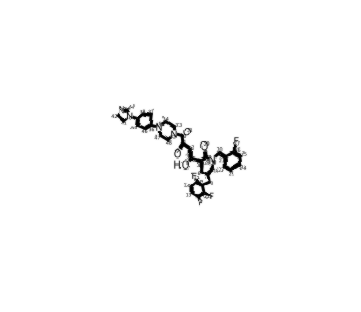 O=C(C=C(O)c1cc(Cc2c(F)ccc(F)c2F)cn(Cc2ccccc2F)c1=O)C(=O)N1CCN(c2ccc(-n3ccnc3)cc2)CC1